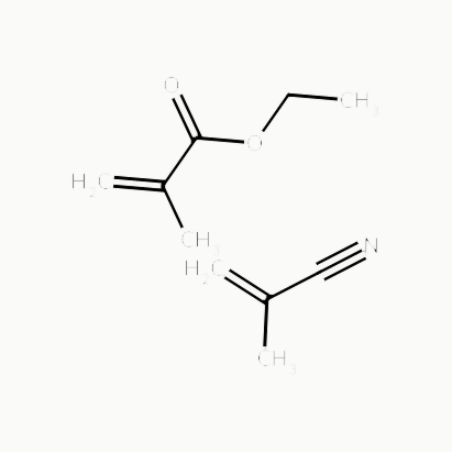 C=C(C)C#N.C=C(C)C(=O)OCC